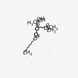 C=C(C)C(=O)OCCCc1cc(-c2ccc(OCCCCCCCCCC)c(F)c2)ccc1OCC(C)(CO)CO